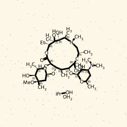 CC(C)O.CC[C@H]1OC(=O)[C@H](C)[C@@H](O[C@H]2C[C@@](C)(OC)[C@@H](O)[C@H](C)O2)[C@H](C)[C@@H](O[C@@H]2O[C@H](C)C[C@H](N(C)C)[C@H]2O)[C@](C)(O)C[C@@H](C)CN(C)[C@H](C)[C@@H](O)[C@]1(C)O.O